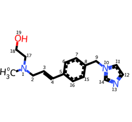 CN(C/C=C/c1ccc(Cn2ccnc2)cc1)CCO